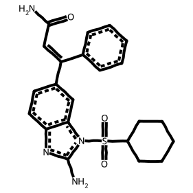 NC(=O)/C=C(\c1ccccc1)c1ccc2nc(N)n(S(=O)(=O)C3CCCCC3)c2c1